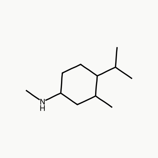 CNC1CCC(C(C)C)C(C)C1